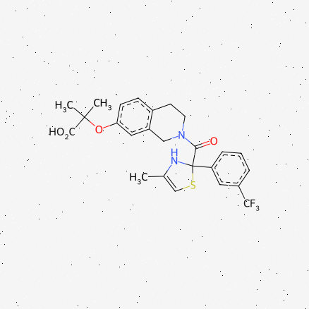 CC1=CSC(C(=O)N2CCc3ccc(OC(C)(C)C(=O)O)cc3C2)(c2cccc(C(F)(F)F)c2)N1